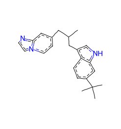 CC(Cc1ccn2ccnc2c1)Cc1c[nH]c2cc(C(C)(C)C)ccc12